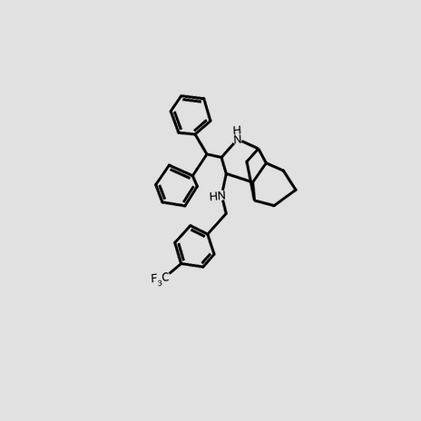 FC(F)(F)c1ccc(CNC2C(C(c3ccccc3)c3ccccc3)NC3CC4CCCC3C42)cc1